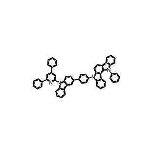 c1ccc(-c2cc(-c3ccccc3)nc(-n3c4ccccc4c4cc(-c5ccc(-n6c7ccccc7c7c6ccc6c8ccccc8n(-c8ccccc8)c67)cc5)ccc43)c2)cc1